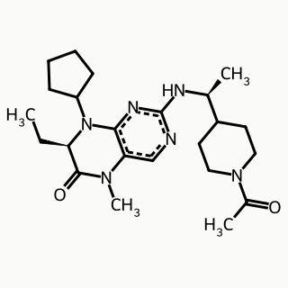 CC[C@@H]1C(=O)N(C)c2cnc(N[C@@H](C)C3CCN(C(C)=O)CC3)nc2N1C1CCCC1